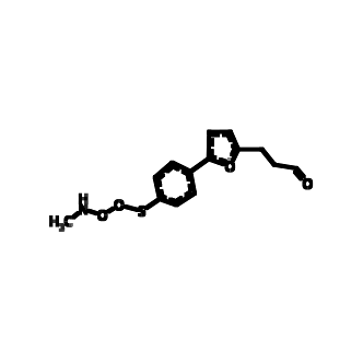 CNOOSc1ccc(-c2ccc(CCC=O)o2)cc1